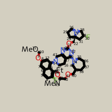 CCc1c(F)ccc2cc(OCOC)cc(N3CCc4c(nc(OC[C@@]56CCCN5C[C@H](F)C6)nc4N4CCCCC(COCC(=O)NC)C4)C3)c12